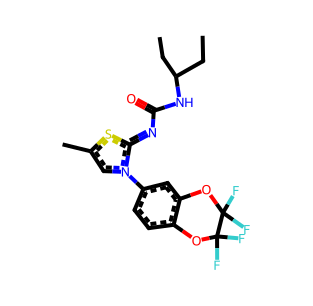 CCC(CC)NC(=O)N=c1sc(C)cn1-c1ccc2c(c1)OC(F)(F)C(F)(F)O2